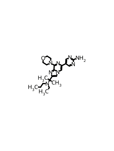 CCCN(CC)C(C)(C)c1cn2cc(-c3cnc(N)nc3)nc(N3CCOCC3)c2n1